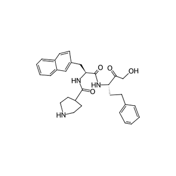 O=C(N[C@@H](Cc1ccc2ccccc2c1)C(=O)N[C@@H](CCc1ccccc1)C(=O)CO)C1CCNCC1